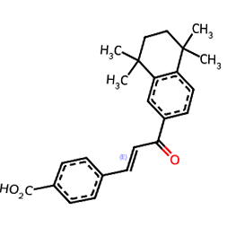 CC1(C)CCC(C)(C)c2cc(C(=O)/C=C/c3ccc(C(=O)O)cc3)ccc21